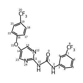 O=C(Nc1cccc(C(F)(F)F)c1)Nc1ncc(Oc2ccc(C(F)(F)F)cc2)cn1